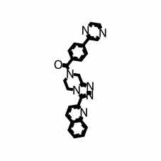 O=C(c1ccc(-c2cnccn2)cc1)N1CCn2c(nnc2-c2ccc3ccccc3n2)C1